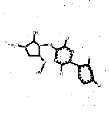 CCCO[C@H]1CN(C(=O)O)C(C)[C@H]1Nc1nc(CC)c(-c2ccc(Cl)cc2Cl)nc1CC